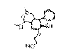 CNC(=O)c1nc(OCCO)c2[nH]c3ccccc3c2c1COC